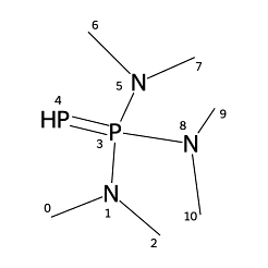 CN(C)P(=P)(N(C)C)N(C)C